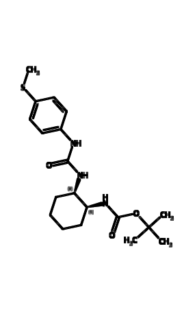 CSc1ccc(NC(=O)N[C@@H]2CCCC[C@@H]2NC(=O)OC(C)(C)C)cc1